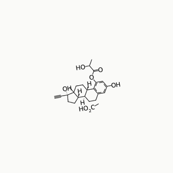 C#C[C@]1(O)CC[C@H]2[C@@H]3CCc4cc(O)cc(OC(=O)C(C)O)c4[C@H]3CCC21C.CC(=O)O